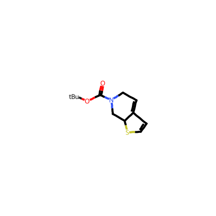 CC(C)(C)OC(=O)N1CC=C2C=CSC2C1